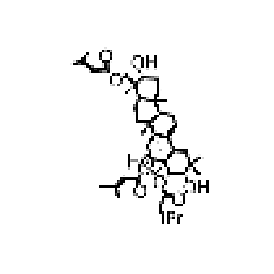 CC(C)=CC(=O)OC[C@@]12C(CC(C)(C)[C@@H](O)[C@@H]1OC(=O)CC(C)C)C1=CCC3[C@@]4(C)CC[C@H](O)[C@](C)(COC(=O)C=C(C)C)C4CC[C@@]3(C)[C@]1(C)C[C@H]2O